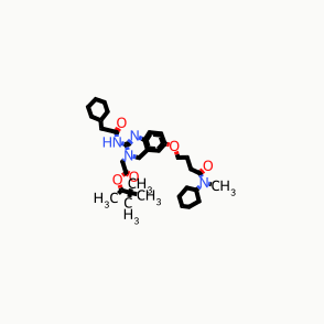 CC(OC(=O)CN1Cc2cc(OCCCC(=O)N(C)C3CCCCC3)ccc2N=C1NC(=O)CC1CCCCC1)C(C)(C)C